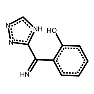 N=C(c1nnc[nH]1)c1ccccc1O